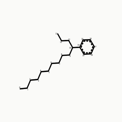 CCCCCCCCCCC(CCC)c1[c]cccc1